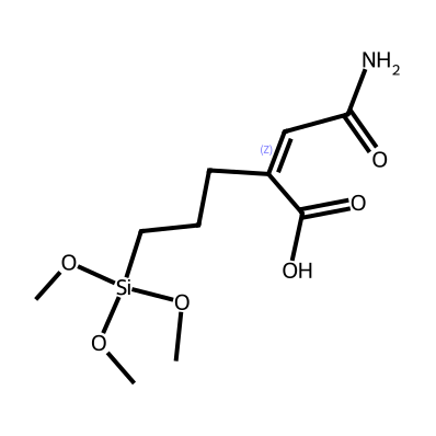 CO[Si](CCC/C(=C/C(N)=O)C(=O)O)(OC)OC